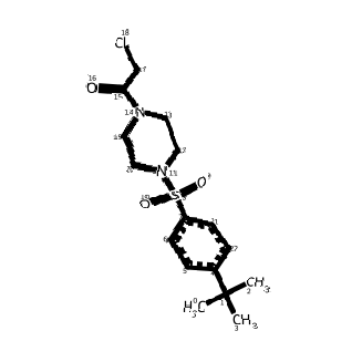 CC(C)(C)c1ccc(S(=O)(=O)N2CCN(C(=O)CCl)CC2)cc1